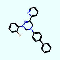 Brc1ccccc1N1CN(c2ccc(-c3ccccc3)cc2)CC(c2ccccn2)=N1